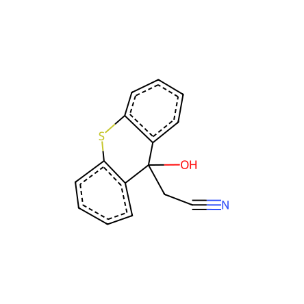 N#CCC1(O)c2ccccc2Sc2ccccc21